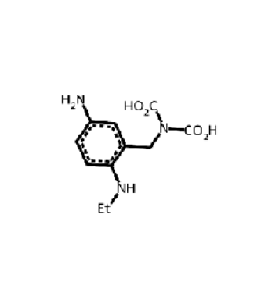 CCNc1ccc(N)cc1CN(C(=O)O)C(=O)O